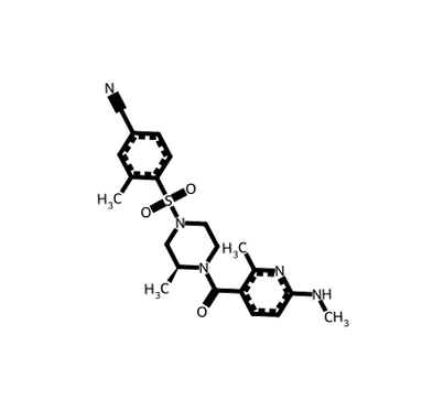 CNc1ccc(C(=O)N2CCN(S(=O)(=O)c3ccc(C#N)cc3C)C[C@@H]2C)c(C)n1